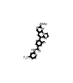 CNc1ncc2c(n1)N1CCN=C1C(c1ccc(C(=O)Nc3cc(C(F)(F)F)ccn3)cc1C)=C2